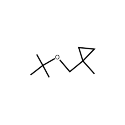 CC1(COC(C)(C)C)CC1